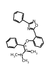 C[C@H]([C@H](Oc1ccccc1-c1nc(-c2ccccc2)no1)c1ccccc1)N(C)C